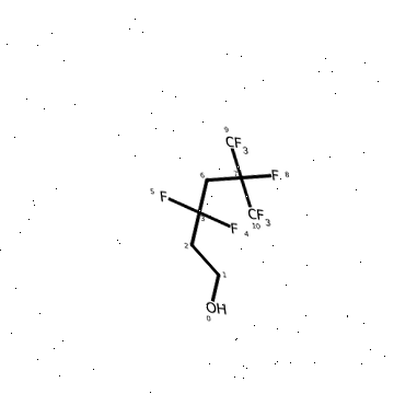 OCCC(F)(F)CC(F)(C(F)(F)F)C(F)(F)F